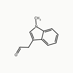 Cn1cc(C[C]=O)c2ccccc21